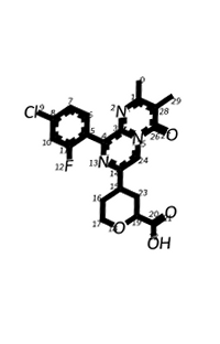 Cc1nc2c(-c3ccc(Cl)cc3F)nc(C3CCOC(C(=O)O)C3)cn2c(=O)c1C